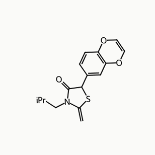 C=C1SC(c2ccc3c(c2)OC=CO3)C(=O)N1CC(C)C